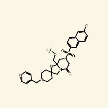 COCC12CN(S(=O)(=O)c3ccc4cc(Cl)ccc4c3)CC(=O)N1CC1(CCN(Cc3ccncc3)CC1)O2